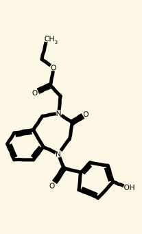 CCOC(=O)CN1Cc2ccccc2N(C(=O)c2ccc(O)cc2)CC1=O